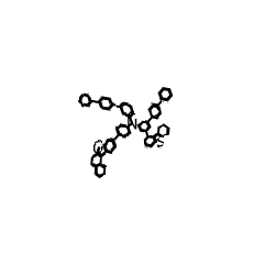 C1=Cc2sc3cccc(-c4cc(-c5ccc(-c6ccccc6)cc5)cc(N(c5ccc(-c6ccc7c(c6)oc6ccc8ccccc8c67)cc5)c5cccc(-c6ccc(-c7ccccc7)cc6)c5)c4)c3c2CC1